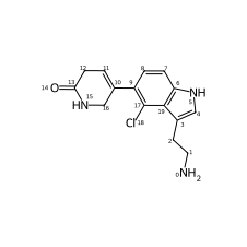 NCCc1c[nH]c2ccc(C3=CCC(=O)NC3)c(Cl)c12